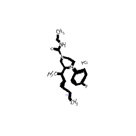 C/C=C/CCC(C)C1CN(C(=O)NCC)CCN1c1ccc(F)cc1.Cl